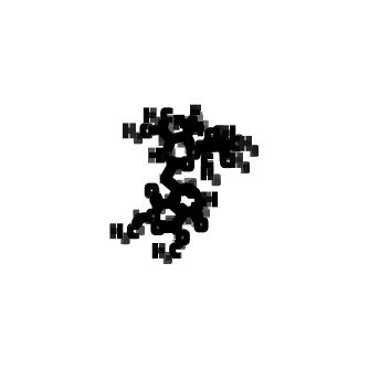 CCOC(=O)c1c(CC(=O)NC(C(C)C)C(O[Si](C)(C)C(C)(C)C)C(F)(F)F)c[nH]c(=O)c1C(=O)OC